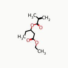 C=C(C)C(=O)OC(CC)CC(=O)OCC